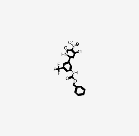 O=C(Nc1cc(-c2cc(Cl)c([N+](=O)[O-])c(=O)[nH]2)cc(C(F)(F)F)c1)OCc1ccccc1